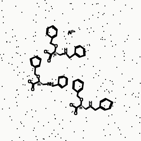 O=C([O-])[C@@H](CNCc1ccccc1)OCc1ccccc1.O=C([O-])[C@@H](CNCc1ccccc1)OCc1ccccc1.O=C([O-])[C@@H](CNCc1ccccc1)OCc1ccccc1.[Al+3]